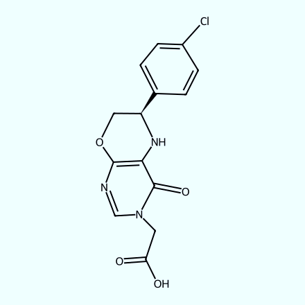 O=C(O)Cn1cnc2c(c1=O)N[C@H](c1ccc(Cl)cc1)CO2